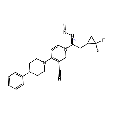 C=N/N=C(/CC1CC1(F)F)N1C=CC(N2CCN(c3ccccc3)CC2)=C(C#N)C1